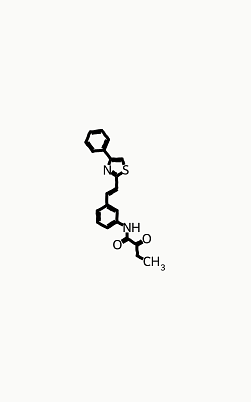 CCC(=O)C(=O)Nc1cccc(C=Cc2nc(-c3ccccc3)cs2)c1